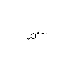 CC(C)C1CCC(C(=O)OCCO)CC1